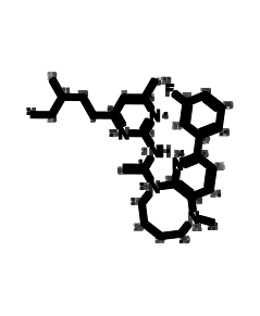 C=C(Nc1nc(C)cc(CCC(C)CC)n1)N1CCCCN(C)c2ccc(-c3cccc(F)c3)nc21